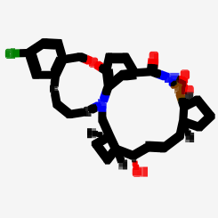 O=C1NS(=O)(=O)[C@@H]2CCC[C@H]2C/C=C/[C@H](O)[C@@H]2CC[C@H]2CN2CCCCc3cc(Cl)ccc3COc3ccc1cc32